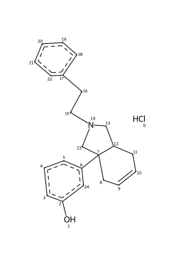 Cl.Oc1cccc(C23CC=CCC2CN(CCc2ccccc2)C3)c1